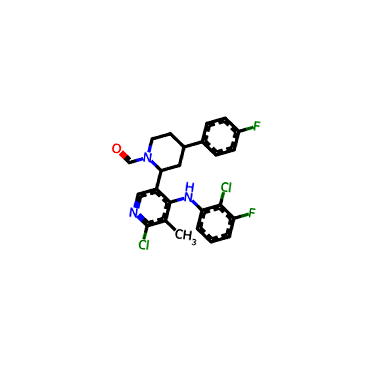 Cc1c(Cl)ncc(C2CC(c3ccc(F)cc3)CCN2C=O)c1Nc1cccc(F)c1Cl